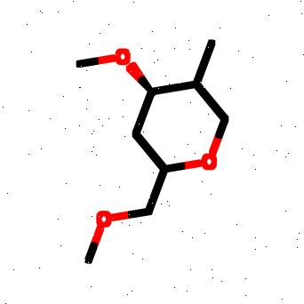 COCC1C[C@@H](OC)C(C)CO1